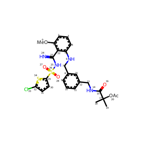 COc1cccc(NCc2cccc(CNC(=O)C(C)(C)OC(C)=O)c2)c1C(=N)NS(=O)(=O)c1ccc(Cl)s1